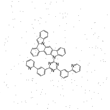 c1ccc(-c2cccc(-c3nc(-c4cccc(-c5ccccn5)c4)nc(-n4c5ccccc5c5cc6c(cc54)c4ccccc4c4cc5ccccc5n46)n3)c2)nc1